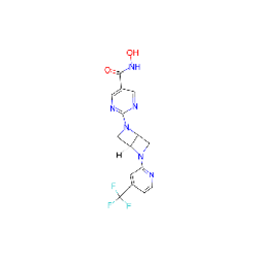 O=C(NO)c1cnc(N2C[C@H]3C2CN3c2cc(C(F)(F)F)ccn2)nc1